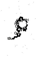 CC(C)(C)CCCC1CCN(c2ccc3c(n2)N2CC(CCCNc4cccc(n4)S(=O)(=O)NC3=O)CC2(C)C)C1=O